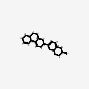 IC1CCC2CC(C3CC=C4C(CCC5CCC=CC45)C3)=CC=C2C1